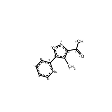 Cc1c(C(=O)O)noc1-c1ccccn1